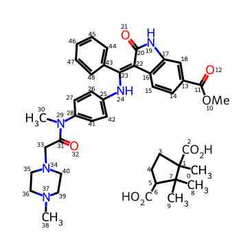 CC1(C(=O)O)CCC(C(=O)O)C1(C)C.COC(=O)c1ccc2c(c1)NC(=O)C2=C(Nc1ccc(N(C)C(=O)CN2CCN(C)CC2)cc1)c1ccccc1